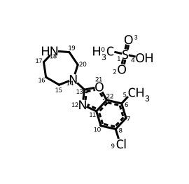 CS(=O)(=O)O.Cc1cc(Cl)cc2nc(N3CCCNCC3)oc12